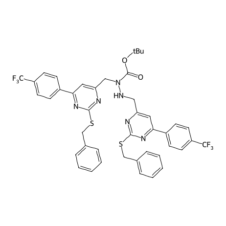 CC(C)(C)OC(=O)N(Cc1cc(-c2ccc(C(F)(F)F)cc2)nc(SCc2ccccc2)n1)NCc1cc(-c2ccc(C(F)(F)F)cc2)nc(SCc2ccccc2)n1